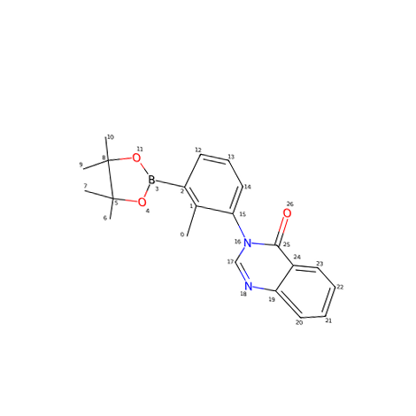 Cc1c(B2OC(C)(C)C(C)(C)O2)cccc1-n1cnc2ccccc2c1=O